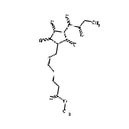 CCC(=O)C(=O)C1C(=O)C(=O)C(C/C=C\CCCC(=O)OC)C1=O